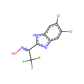 O/N=C(/c1nc2cc(Cl)c(Cl)cc2[nH]1)C(F)(F)F